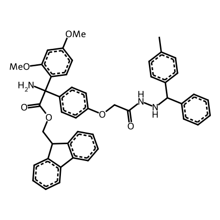 COc1ccc(C(N)(C(=O)OCC2c3ccccc3-c3ccccc32)c2ccc(OCC(=O)NNC(c3ccccc3)c3ccc(C)cc3)cc2)c(OC)c1